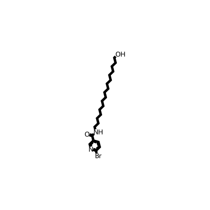 O=C(NCCCCCCCCCCCCCCCCCO)c1ccc(Br)nc1